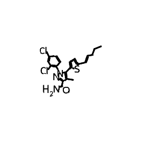 CCC/C=C/c1ccc(-c2c(C)c(C(N)=O)nn2-c2ccc(Cl)cc2Cl)s1